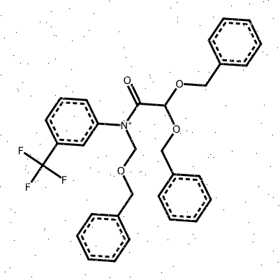 O=C(C(OCc1ccccc1)OCc1ccccc1)[N+](COCc1ccccc1)c1cccc(C(F)(F)F)c1